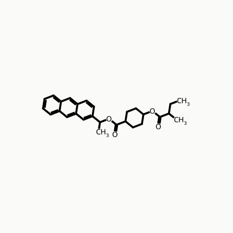 CCC(C)C(=O)OC1CCC(C(=O)OC(C)c2ccc3cc4ccccc4cc3c2)CC1